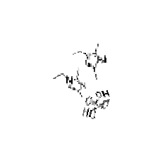 CCn1cc(C)nc1C.CCn1cc(C)nc1C.O=S(=O)(O)O